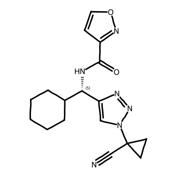 N#CC1(n2cc([C@@H](NC(=O)c3ccon3)C3CCCCC3)nn2)CC1